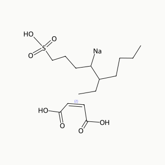 CCCCC(CC)[CH]([Na])CCCS(=O)(=O)O.O=C(O)/C=C\C(=O)O